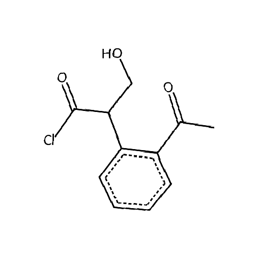 CC(=O)c1ccccc1C(CO)C(=O)Cl